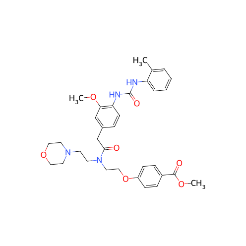 COC(=O)c1ccc(OCCN(CCN2CCOCC2)C(=O)Cc2ccc(NC(=O)Nc3ccccc3C)c(OC)c2)cc1